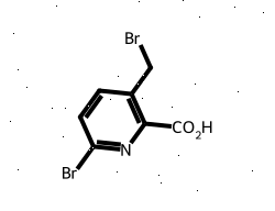 O=C(O)c1nc(Br)ccc1CBr